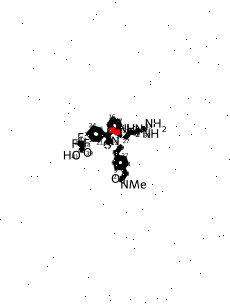 CNC(=O)Cc1ccc(CCN(C(=O)C(c2ccccc2)c2ccccc2)[C@H](CCCNC(=N)N)C(N)=O)cc1.O=C(O)C(F)(F)F